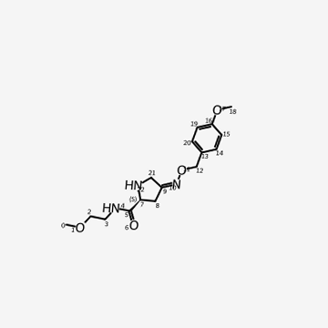 COCCNC(=O)[C@@H]1CC(=NOCc2ccc(OC)cc2)CN1